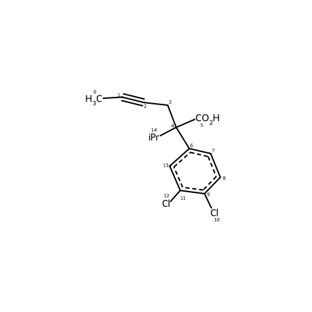 CC#CCC(C(=O)O)(c1ccc(Cl)c(Cl)c1)C(C)C